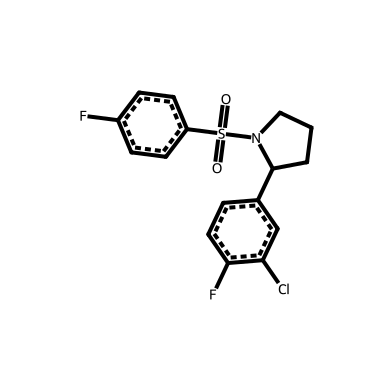 O=S(=O)(c1ccc(F)cc1)N1CCCC1c1ccc(F)c(Cl)c1